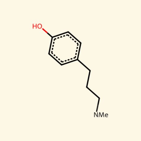 CNCCCc1ccc(O)cc1